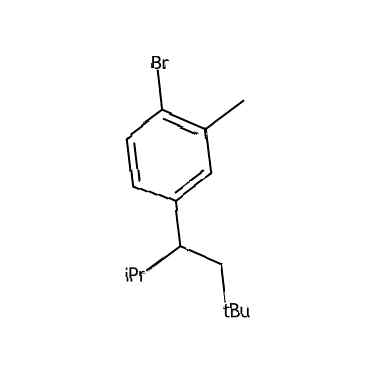 Cc1cc(C(CC(C)(C)C)C(C)C)ccc1Br